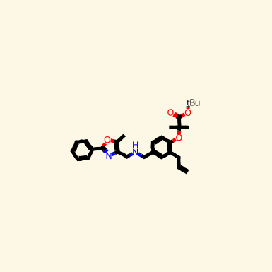 C=CCc1cc(CNCc2nc(-c3ccccc3)oc2C)ccc1OC(C)(C)C(=O)OC(C)(C)C